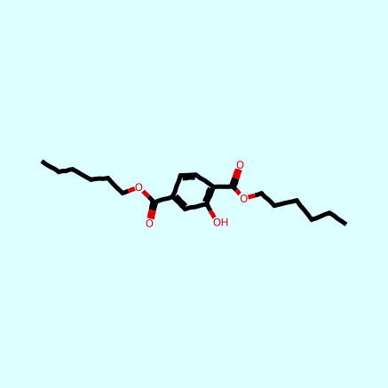 CCCCCCOC(=O)c1ccc(C(=O)OCCCCCC)c(O)c1